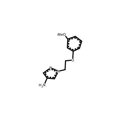 COc1cccc(OCCn2cc(N)cn2)c1